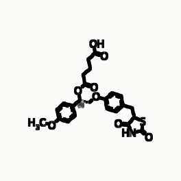 COc1ccc([C@@H](COc2ccc(CC3SC(=O)NC3=O)cc2)OC(=O)CCCC(=O)O)cc1